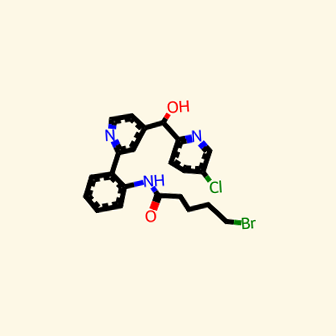 O=C(CCCCBr)Nc1ccccc1-c1cc(C(O)c2ccc(Cl)cn2)ccn1